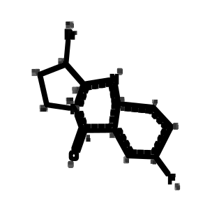 O=c1c2cc(F)ccc2nc2n1CCC2Br